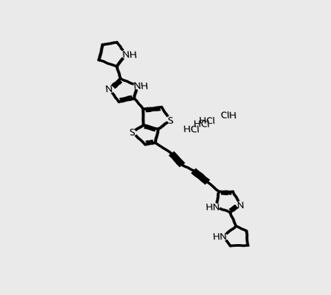 C(C#Cc1csc2c(-c3cnc(C4CCCN4)[nH]3)csc12)#Cc1cnc(C2CCCN2)[nH]1.Cl.Cl.Cl.Cl